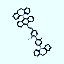 Cc1cc(N2C3=C(C=CCC3)CCc3ccccc32)ccc1-c1ccc(/C=C/c2c3ccccc3c(N3c4ccccc4CCc4ccccc43)c3ccccc23)cc1C(C)C